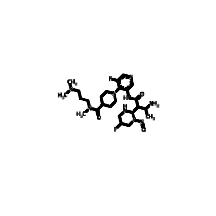 CC(N)C(C(=O)Nc1cncc(F)c1N1CCC(C(=O)N(C)CCCN(C)C)CC1)C1NCC(F)CN1N=O